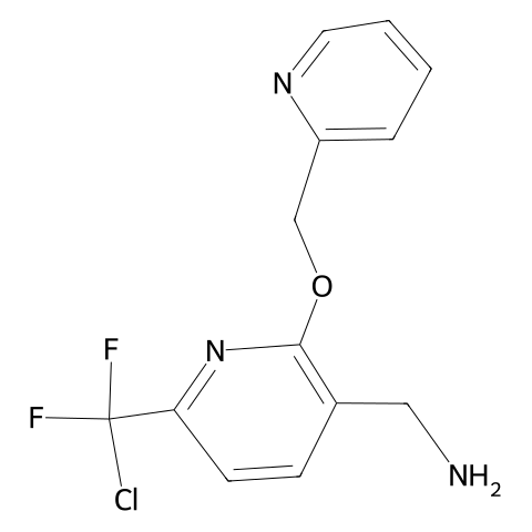 NCc1ccc(C(F)(F)Cl)nc1OCc1ccccn1